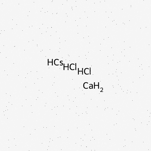 Cl.Cl.[CaH2].[CsH]